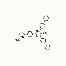 Cc1cccc(-c2ccc(C3=NC(c4ccc(-c5ccccc5)cc4)N(C)C(c4ccc(-c5ccccc5)cc4)=N3)cc2)n1